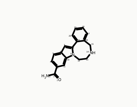 NC(=O)c1ccc2cc3n(c2c1)CCNCc1ccccc1-3